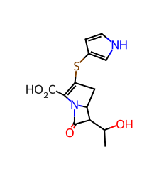 CC(O)C1C(=O)N2C(C(=O)O)=C(Sc3cc[nH]c3)CC12